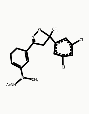 CC(=O)NN(C)C1=CCCC(C2=NOC(c3cc(Cl)cc(Cl)c3)(C(F)(F)F)C2)=C1